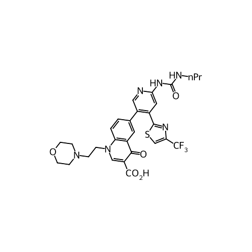 CCCNC(=O)Nc1cc(-c2nc(C(F)(F)F)cs2)c(-c2ccc3c(c2)c(=O)c(C(=O)O)cn3CCN2CCOCC2)cn1